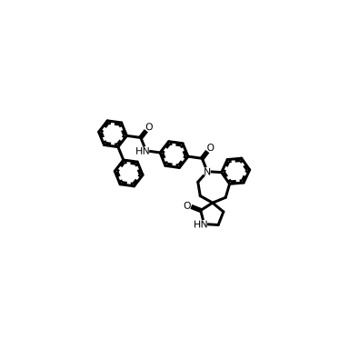 O=C(Nc1ccc(C(=O)N2CCC3(CCNC3=O)Cc3ccccc32)cc1)c1ccccc1-c1ccccc1